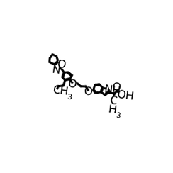 CCCc1cc(-c2nc3c(o2)CCCC3)ccc1OCCCOc1ccc2[nH]c(C(C)C(=O)O)cc2c1